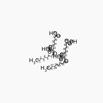 CCCCCCCCC1OC1C(CCCCCCC(=O)O)S(=O)(=O)O.CCCCCCCCC1OC1C(CCCCCCC(=O)OO)S(=O)(=O)O